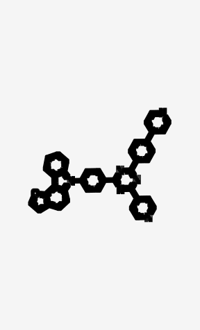 c1ccc2c(c1)c1c3occc3ccc1n2-c1ccc(-c2nc(-c3ccncc3)nc(-c3ccc(-c4ccncc4)cc3)n2)cc1